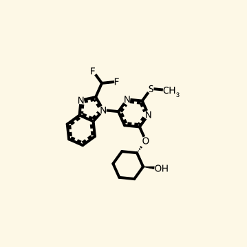 CSc1nc(O[C@H]2CCCC[C@@H]2O)cc(-n2c(C(F)F)nc3ccccc32)n1